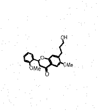 COc1cc2c(cc1CCCO)OC(c1ccccc1OC)CC2=O